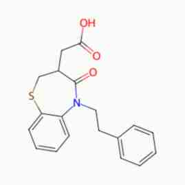 O=C(O)CC1CSc2ccccc2N(CCc2ccccc2)C1=O